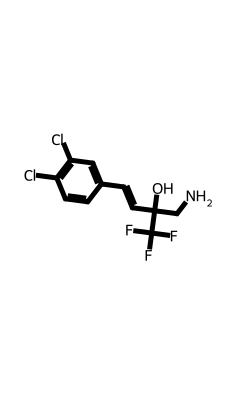 NCC(O)(/C=C/c1ccc(Cl)c(Cl)c1)C(F)(F)F